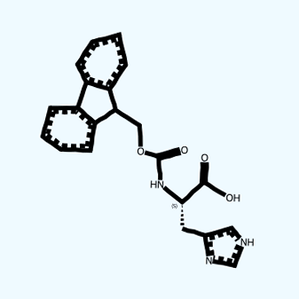 O=C(N[C@@H](Cc1c[nH]cn1)C(=O)O)OCC1c2ccccc2-c2ccccc21